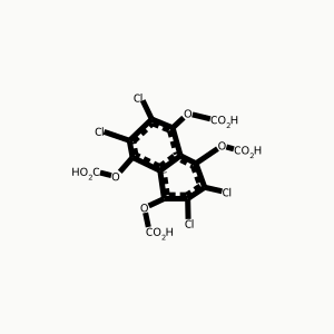 O=C(O)Oc1c(Cl)c(Cl)c(OC(=O)O)c2c(OC(=O)O)c(Cl)c(Cl)c(OC(=O)O)c12